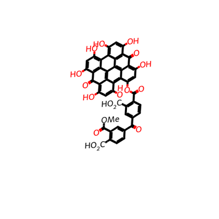 COC(=O)c1cc(C(=O)c2ccc(C(=O)Oc3cc(O)c4c(=O)c5c(O)cc(O)c6c7c(O)cc(O)c8c(=O)c9c(O)cc(O)c%10c3c4c(c56)c(c87)c9%10)c(C(=O)O)c2)ccc1C(=O)O